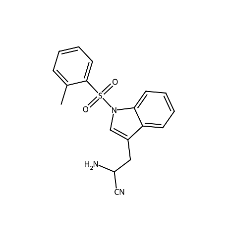 Cc1ccccc1S(=O)(=O)n1cc(CC(N)C#N)c2ccccc21